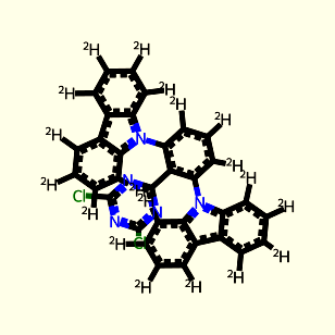 [2H]c1c([2H])c(-n2c3c([2H])c([2H])c([2H])c([2H])c3c3c([2H])c([2H])c([2H])c([2H])c32)c(-c2nc(Cl)nc(Cl)n2)c(-n2c3c([2H])c([2H])c([2H])c([2H])c3c3c([2H])c([2H])c([2H])c([2H])c32)c1[2H]